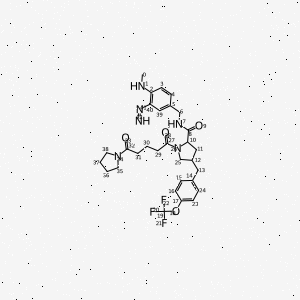 CNc1ccc(CNC(=O)C2CC(Cc3ccc(OC(F)(F)F)cc3)CN2C(=O)CCCC(=O)N2CCCC2)cc1N=N